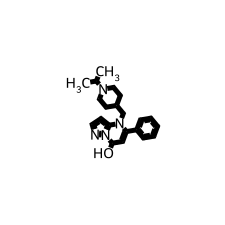 CC(C)N1CCC(CN2C(c3ccccc3)=CC(O)n3nccc32)CC1